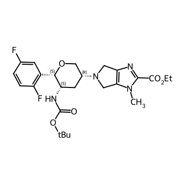 CCOC(=O)c1nc2c(n1C)CN([C@H]1CO[C@@H](c3cc(F)ccc3F)[C@@H](NC(=O)OC(C)(C)C)C1)C2